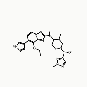 CCOc1c(-c2cn[nH]c2)ccn2nc(NC3CCN([S+]([O-])c4cnn(C)n4)CC3C)nc12